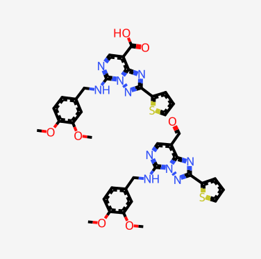 COc1ccc(CNc2ncc(C(=O)O)c3nc(-c4cccs4)nn23)cc1OC.COc1ccc(CNc2ncc(C=O)c3nc(-c4cccs4)nn23)cc1OC